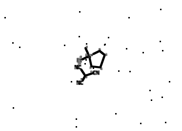 CC[N+]1(C)CCCC1.N#CC(C#N)C#N